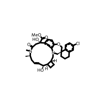 COC(=O)[C@]1(O)CC(=O)N(C)[C@H](C)C/C=C/[C@H](O)[C@@H]2CC[C@H]2CN2C[C@@]3(CCCc4cc(Cl)ccc43)COc3ccc1cc32